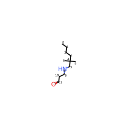 CCCCC(C)(C)CNCCC=O